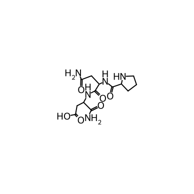 NC(=O)CC(NC(=O)C1CCCN1)C(=O)NC(CC(=O)O)C(N)=O